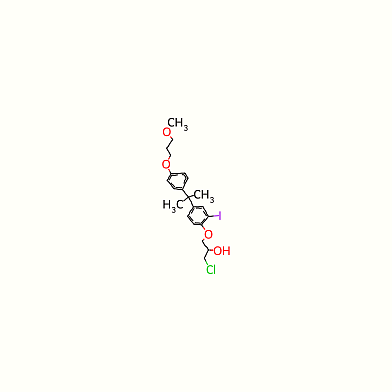 COCCCOc1ccc(C(C)(C)c2ccc(OC[C@@H](O)CCl)c(I)c2)cc1